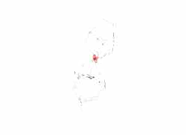 Cc1cnc(N2CC3CCC(C2)N3C2COC2)nc1